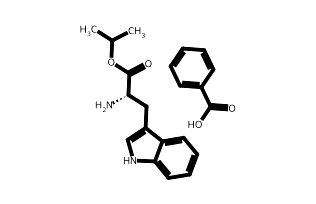 CC(C)OC(=O)[C@@H](N)Cc1c[nH]c2ccccc12.O=C(O)c1ccccc1